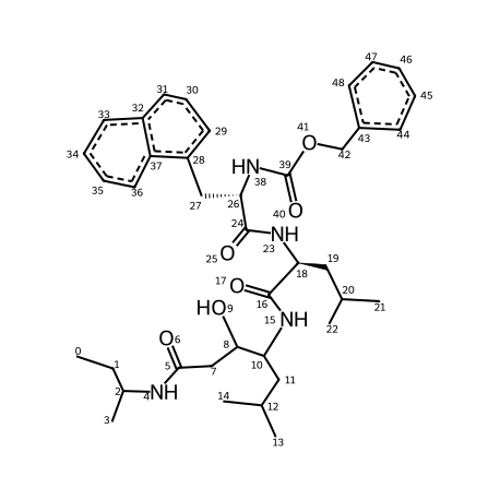 CCC(C)NC(=O)CC(O)C(CC(C)C)NC(=O)[C@H](CC(C)C)NC(=O)[C@H](Cc1cccc2ccccc12)NC(=O)OCc1ccccc1